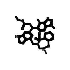 CCOC(=O)CC(c1cc(CN2C[C@@H](C)Oc3ccccc3S2(=O)=O)c2cc[nH]c2c1)c1ccc2c(nnn2C)c1C